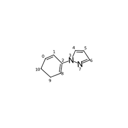 C1=CC(n2cccn2)=CCC1